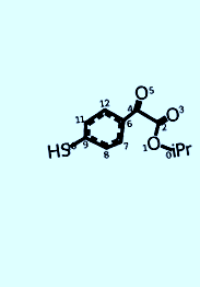 CC(C)OC(=O)C(=O)c1ccc(S)cc1